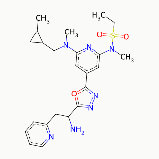 CCS(=O)(=O)N(C)c1cc(-c2nnc(C(N)Cc3ccccn3)o2)cc(N(C)CC2CC2C)n1